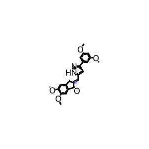 COc1cc(OC)cc(-c2cc(/C=C3\Cc4cc(OC)c(OC)cc4C3=O)[nH]n2)c1